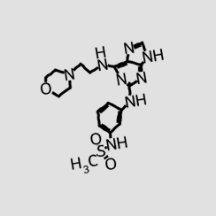 CS(=O)(=O)Nc1cccc(Nc2nc(NCCN3CCOCC3)c3nc[nH]c3n2)c1